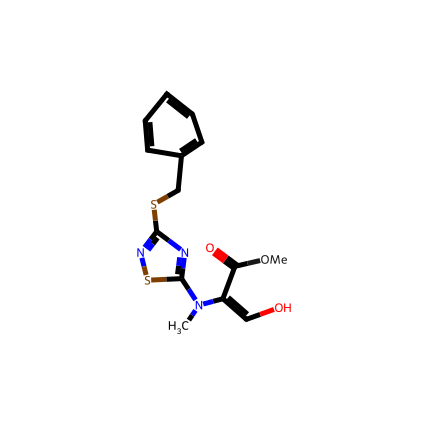 COC(=O)C(=CO)N(C)c1nc(SCc2ccccc2)ns1